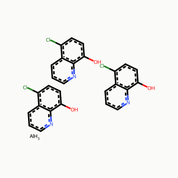 Oc1ccc(Cl)c2cccnc12.Oc1ccc(Cl)c2cccnc12.Oc1ccc(Cl)c2cccnc12.[AlH3]